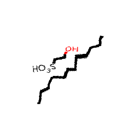 CCCCCCCCCCCC.O=S(=O)(O)CCO